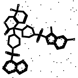 Cc1c(S(=O)(=O)N2CCC([N+]3(C4CCN(S(=O)(=O)c5cccc6cccnc56)CC4)C(=O)OCC4=C3C=CCC4(Cl)Cl)CC2)sc2ccc(Cl)cc12